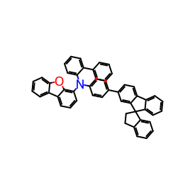 c1ccc(-c2ccccc2N(c2ccc(-c3ccc4c(c3)C3(CCc5ccccc53)c3ccccc3-4)cc2)c2cccc3c2oc2ccccc23)cc1